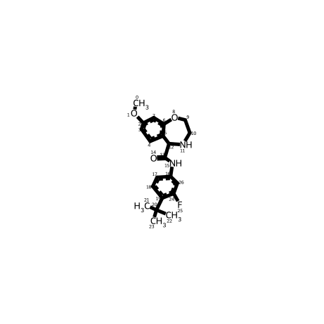 COc1ccc2c(c1)OCCNC2C(=O)Nc1ccc(C(C)(C)C)c(F)c1